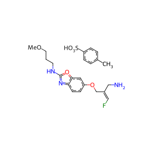 COCCCNc1nc2ccc(OC/C(=C\F)CN)cc2o1.Cc1ccc(S(=O)(=O)O)cc1